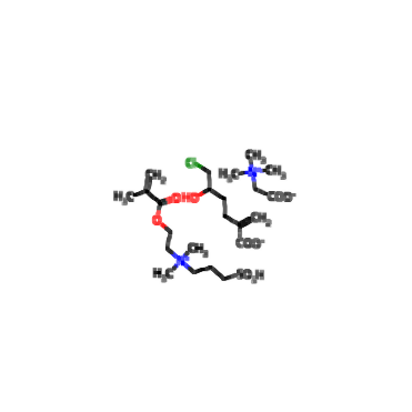 C=C(C)C(=O)OCC[N+](C)(C)CCCS(=O)(=O)O.C=C(CCC(O)CCl)C(=O)[O-].C[N+](C)(C)CC(=O)[O-]